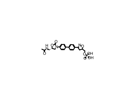 CC(=O)NC[C@H]1CN(c2ccc(-c3ccc(C4=NOC(COP(=O)(O)O)C4)cc3)cc2)C(=O)O1